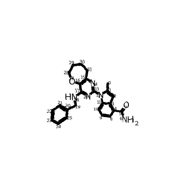 Cc1cc2c(C(N)=O)cccc2n1-c1nc2c(c(NCc3ccccc3)n1)OCCCC2